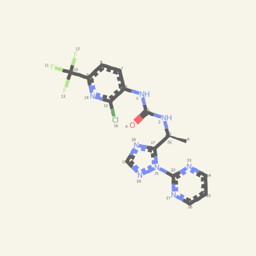 C[C@H](NC(=O)Nc1ccc(C(F)(F)F)nc1Cl)c1ncnn1-c1ncccn1